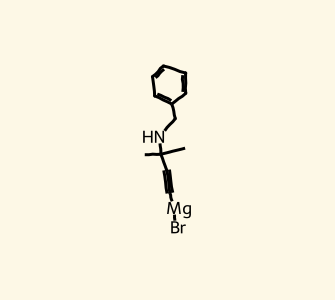 CC(C)(C#[C][Mg][Br])NCc1ccccc1